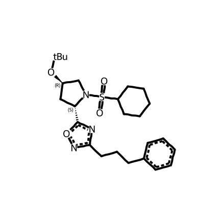 CC(C)(C)O[C@@H]1C[C@@H](c2nc(CCCc3ccccc3)no2)N(S(=O)(=O)C2CCCCC2)C1